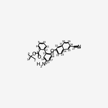 CC(C)(C)OC(=O)c1ccccc1-c1cc(N)ccc1Oc1ccc2cc(C#N)ccc2c1